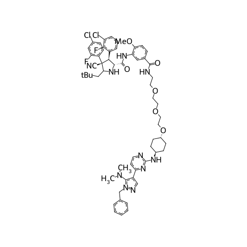 COc1ccc(C(=O)NCCOCCOCCO[C@H]2CC[C@H](Nc3nccc(-c4cnn(Cc5ccccc5)c4N(C)C)n3)CC2)cc1NC(=O)[C@@H]1NC(CC(C)(C)C)[C@](C#N)(c2ccc(Cl)cc2F)[C@H]1c1cccc(Cl)c1F